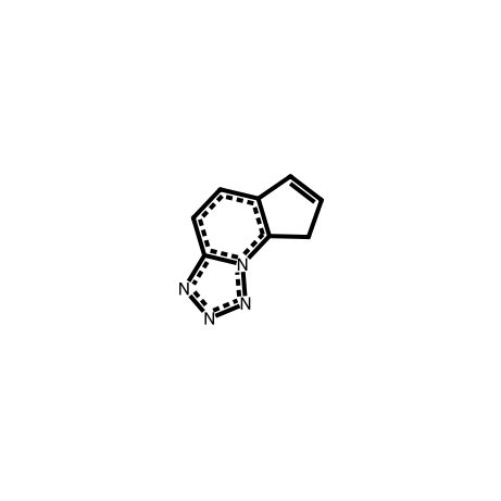 C1=Cc2ccc3nnnn3c2C1